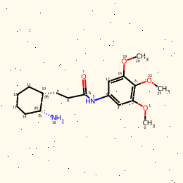 COc1cc(NC(=O)CC[C@H]2CCCC[C@H]2N)cc(OC)c1OC